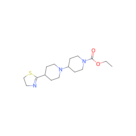 CCOC(=O)N1CCC(N2CCC(C3=NCCS3)CC2)CC1